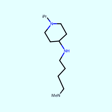 CNCCCCNC1CCN(C(C)C)CC1